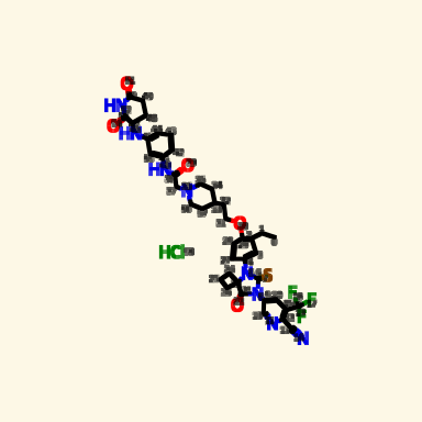 CCc1cc(N2C(=S)N(c3cnc(C#N)c(C(F)(F)F)c3)C(=O)C23CCC3)ccc1OCCC1CCN(CC(=O)Nc2cccc(NC3CCC(=O)NC3=O)c2)CC1.Cl